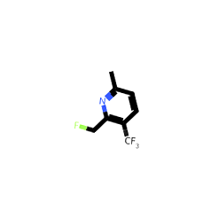 Cc1ccc(C(F)(F)F)c(CF)n1